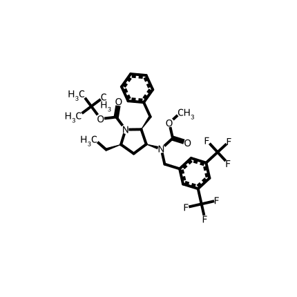 CC[C@@H]1C[C@H](N(Cc2cc(C(F)(F)F)cc(C(F)(F)F)c2)C(=O)OC)[C@H](Cc2ccccc2)N1C(=O)OC(C)(C)C